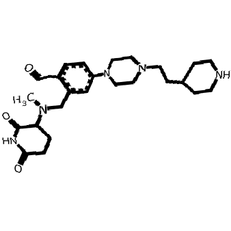 CN(Cc1cc(N2CCN(CCC3CCNCC3)CC2)ccc1C=O)C1CCC(=O)NC1=O